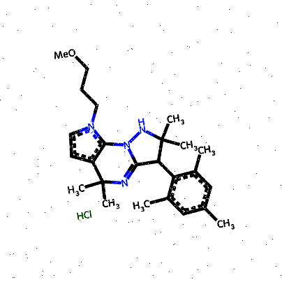 COCCCn1ccc2c1N1NC(C)(C)C(c3c(C)cc(C)cc3C)C1=NC2(C)C.Cl